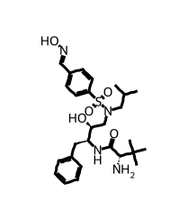 CC(C)CN(C[C@H](O)[C@H](Cc1ccccc1)NC(=O)[C@@H](N)C(C)(C)C)S(=O)(=O)c1ccc(C=NO)cc1